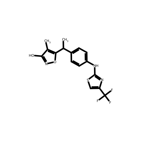 Cc1c(O)noc1C(C)c1ccc(Nc2nc(C(F)(F)F)cs2)cc1